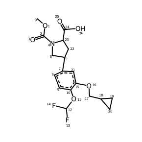 COC(=O)N1CC(c2ccc(OC(F)F)c(OCC3CC3)c2)CC1C(=O)O